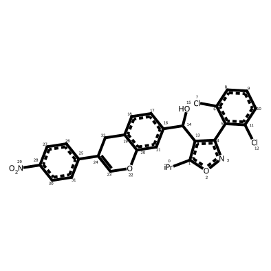 CC(C)c1onc(-c2c(Cl)cccc2Cl)c1C(O)c1ccc2c(c1)OC=C(c1ccc([N+](=O)[O-])cc1)C2